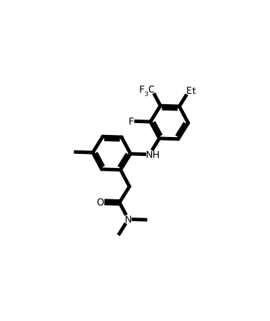 CCc1ccc(Nc2ccc(C)cc2CC(=O)N(C)C)c(F)c1C(F)(F)F